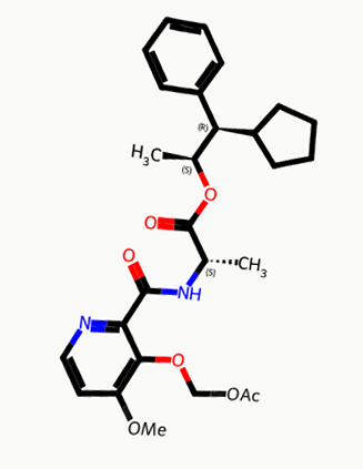 COc1ccnc(C(=O)N[C@@H](C)C(=O)O[C@@H](C)[C@@H](c2ccccc2)C2CCCC2)c1OCOC(C)=O